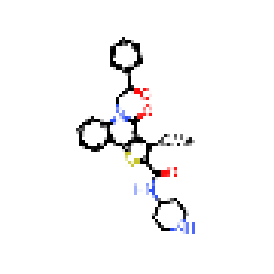 COc1c(C(=O)NC2CCNCC2)sc2c1c(=O)n(CC(=O)c1ccccc1)c1ccccc21